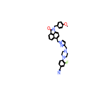 COc1ccc(CN2C(=O)c3cccc4c(Cn5ccc(CN6CCN(c7ccc(C#N)cc7F)CC6)n5)ccc2c34)cc1